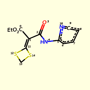 CCOC(=O)C(C(=O)Nc1ccccn1)=C1SCS1